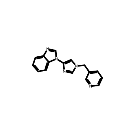 c1cncc(Cn2cnc(-n3cnc4ccccc43)c2)c1